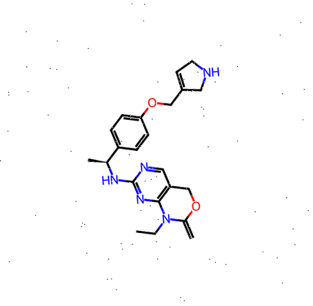 C=C1OCc2cnc(N[C@@H](C)c3ccc(OCC4=CCNC4)cc3)nc2N1CC